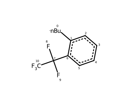 CCC[CH]c1ccccc1C(F)(F)C(F)(F)F